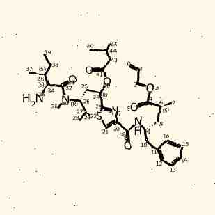 C=CCOC(=O)[C@@H](C)C[C@H](Cc1ccccc1)NC(=O)c1csc([C@@H](C[C@H](C(C)C)N(C)C(=O)[C@@H](N)[C@@H](C)CC)OC(=O)CC(C)C)n1